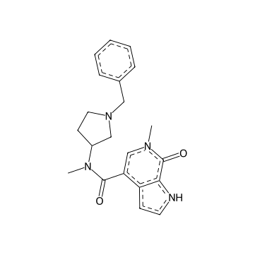 CN(C(=O)c1cn(C)c(=O)c2[nH]ccc12)C1CCN(Cc2ccccc2)C1